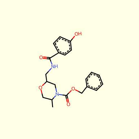 CC1COC(CNC(=O)c2ccc(O)cc2)CN1C(=O)OCc1ccccc1